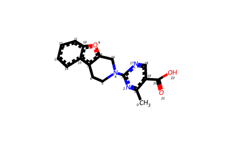 Cc1nc(N2CCc3c(oc4ccccc34)C2)ncc1C(=O)O